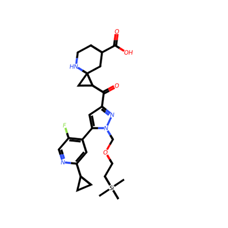 C[Si](C)(C)CCOCn1nc(C(=O)C2CC23CC(C(=O)O)CCN3)cc1-c1cc(C2CC2)ncc1F